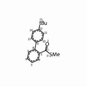 CSC(=O)c1ccccc1-c1ccc(C(C)(C)C)cc1